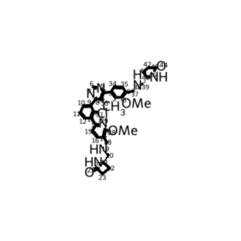 COc1cc(-c2ncnc(-c3cccc(-c4ccc(CNC[C@H]5CCC(=O)N5)c(OC)n4)c3Cl)c2C)ccc1CNC[C@@H]1CCC(=O)N1